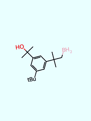 BCC(C)(C)c1cc(C(C)(C)C)cc(C(C)(C)O)c1